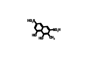 Cc1c(S(=O)(=O)O)cc2cc(S(=O)(=O)O)cc(O)c2c1O